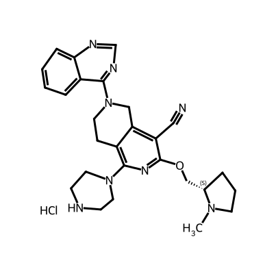 CN1CCC[C@H]1COc1nc(N2CCNCC2)c2c(c1C#N)CN(c1ncnc3ccccc13)CC2.Cl